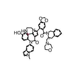 Cn1ccc2cc(N(C(=O)c3cc(-c4cc5c(cc4C(=O)N4Cc6ccccc6C[C@H]4CN4CCOCC4)OCO5)n4c3CNCC4)c3ccc(O)cc3)ccc21